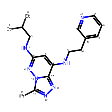 CCC(CC)CNc1cc(NCCc2cccnc2)c2nnc(C(C)C)n2n1